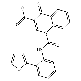 O=C(O)c1cn(C(=O)Nc2ccccc2-c2ccco2)c2ccccc2c1=O